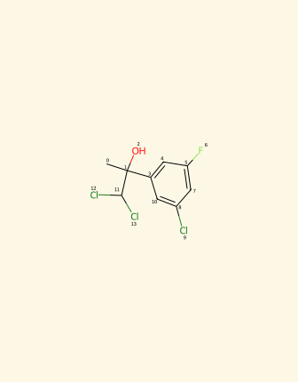 CC(O)(c1cc(F)cc(Cl)c1)C(Cl)Cl